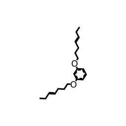 CCC=CCCCOc1cccc(OCCCC=CCC)c1